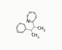 CC(c1ccccc1)C(C)c1ccccn1